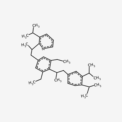 CCc1cc(CC(C)c2ncccc2C(C)C)cc(CC)c1C(C)Cc1ccc(C(C)C)c(C(C)C)c1